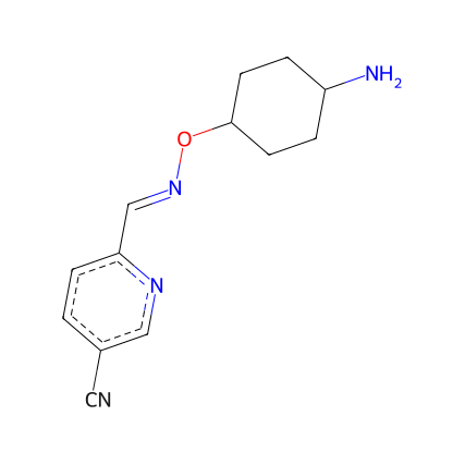 N#Cc1ccc(C=NOC2CCC(N)CC2)nc1